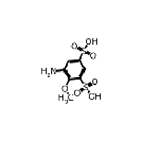 COc1c(N)cc(S(=O)(=O)O)cc1S(=O)(=O)O